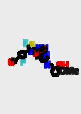 COc1cccc(/C=N/c2cnc(S(=O)(=O)Nc3nc(-c4ccc(C5COC5)c(F)c4)c(F)s3)c(C)c2)c1O